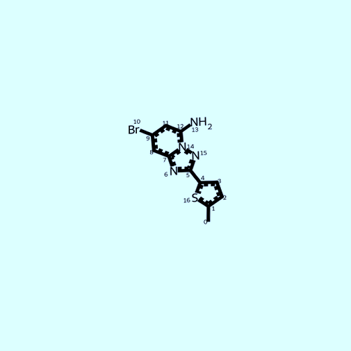 Cc1ccc(-c2nc3cc(Br)cc(N)n3n2)s1